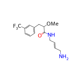 COC(Cc1cccc(C(F)(F)F)c1)C(=O)NCC=CCN